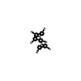 N#Cc1cccc(-c2cc(-n3c4ccc(C#N)cc4c4cc(C#N)ccc43)c(C#N)cc2-n2c3ccc(C#N)cc3c3cc(C#N)ccc32)c1